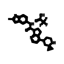 Cc1cc2cc(NC(=O)N3CCc4c(N5CCNC6(CC6)C5)ccnc43)ccn2n1.O=C(O)C(F)(F)F